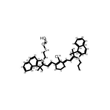 CCCN1/C(=C/C=C2\CCCC(/C=C/C3=[N+](CCSOOO)c4ccc5ccccc5c4C3(C)C)=C2Cl)C(C)(C)c2c1ccc1ccccc21